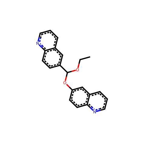 CCOC(Oc1ccc2ncccc2c1)c1ccc2ncccc2c1